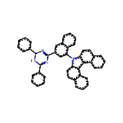 c1ccc(C2=NC(c3cc(-n4c5ccc6ccccc6c5c5c6ccccc6ccc54)c4ccccc4c3)=NC(c3ccccc3)N2)cc1